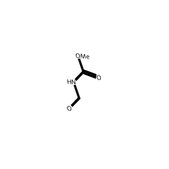 COC(=O)NC[O]